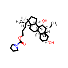 CC[C@H]1[C@@H](O)[C@@H]2[C@H](CC[C@@]3(C)[C@H]2CCC3(C)[C@H](C)CCCOC(=O)N2CCCC2)[C@@]2(C)CC[C@@H](O)C[C@@H]12